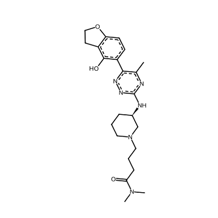 Cc1nc(N[C@@H]2CCCN(CCCC(=O)N(C)C)C2)nnc1-c1ccc2c(c1O)CCO2